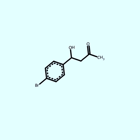 CC(=O)CC(O)c1ccc(Br)cc1